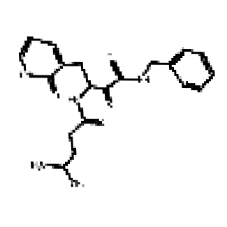 CC(C)CCC(=O)NC(Cc1ccc[nH]c1=O)C(=O)C(=O)NCc1ccccc1